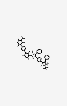 Cc1cc(C)c(C(C)C)c(C)c1-c1ccc(-c2c(C)cc(C)c(C3N(C)C(c4ccccc4)=C(c4ccc(C5=C(c6ccccc6)N(C)C(C(C)(C)C)N5C)cc4)N3C)c2C)cc1